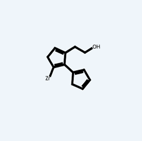 OCCC1=CC[C]([Zr])=C1C1=CC=CC1